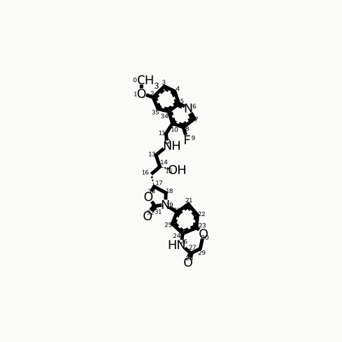 COc1ccc2ncc(F)c(CNC[C@H](O)C[C@@H]3CN(c4ccc5c(c4)NC(=O)CO5)C(=O)O3)c2c1